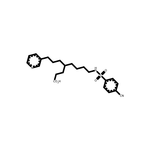 N#Cc1ccc(S(=O)(=O)NCCCCC(CCCc2cccnc2)CCC(=O)O)cc1